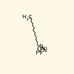 CCCCCCCCCCCCCC(CC(F)(F)F)N=[N+]=[N-]